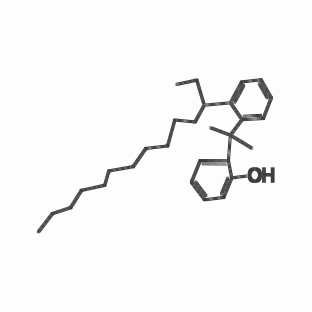 CCCCCCCCCCCC(CC)c1ccccc1C(C)(C)c1ccccc1O